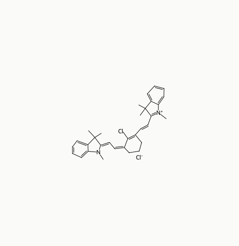 CN1C(=CC=C2CCCC(C=CC3=[N+](C)c4ccccc4C3(C)C)=C2Cl)C(C)(C)c2ccccc21.[Cl-]